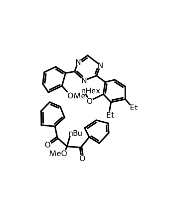 CCCCC(OC)(C(=O)c1ccccc1)C(=O)c1ccccc1.CCCCCCOc1c(-c2ncnc(-c3ccccc3OC)n2)ccc(CC)c1CC